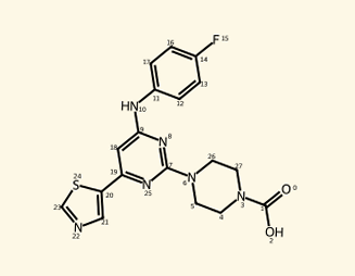 O=C(O)N1CCN(c2nc(Nc3ccc(F)cc3)cc(-c3cncs3)n2)CC1